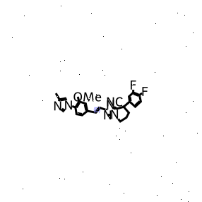 COc1cc(/C=C/c2nc3n(n2)CCCC3(C#N)c2ccc(F)c(F)c2)ccc1-n1cnc(C)c1